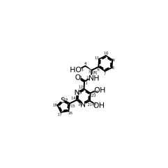 O=C(N[C@@H](CO)c1ccccc1)c1nc(-c2cccs2)nc(O)c1O